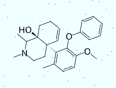 COc1ccc(C)c([C@@]23C=CCC[C@@]2(O)C(C)N(C)CC3)c1Oc1ccccc1